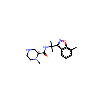 Cc1cccc2c(C(C)(C)NC(=O)[C@@H]3CNCCN3C)noc12